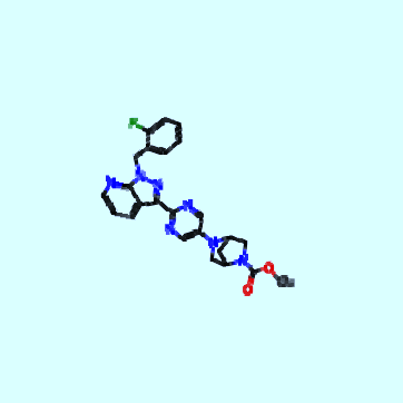 CC(C)(C)OC(=O)N1CC2CC1CN2c1cnc(-c2nn(Cc3ccccc3F)c3ncccc23)nc1